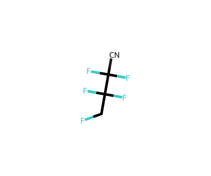 N#CC(F)(F)C(F)(F)CF